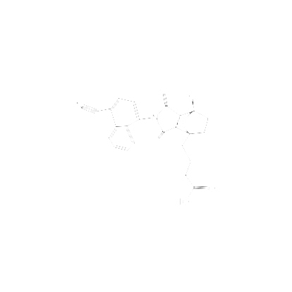 C[C@@]12CCC(CCCC(=O)O)(O1)C1C(=O)N(c3ccc(C#N)c4ccccc34)C(=O)C12